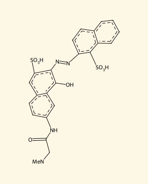 CNCC(=O)Nc1ccc2cc(S(=O)(=O)O)c(N=Nc3ccc4ccccc4c3S(=O)(=O)O)c(O)c2c1